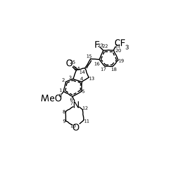 COc1cc2c(cc1N1CCOCC1)CC(=Cc1cccc(C(F)(F)F)c1F)C2=O